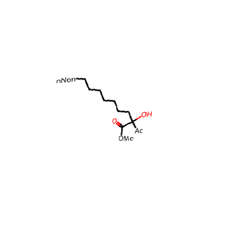 CCCCCCCCCCCCCCCCC(O)(C(C)=O)C(=O)OC